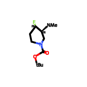 CN[C@H]1CN(C(=O)OC(C)(C)C)CC[C@@H]1F